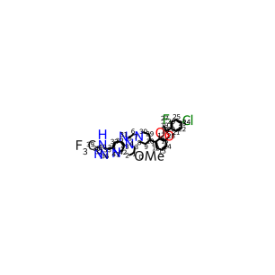 COC(C)Cn1c(CN2CCC(c3cccc4c3OC(C)(c3ccc(Cl)cc3F)O4)CC2)nc2cc(-c3nnc(C(F)(F)F)[nH]3)ncc21